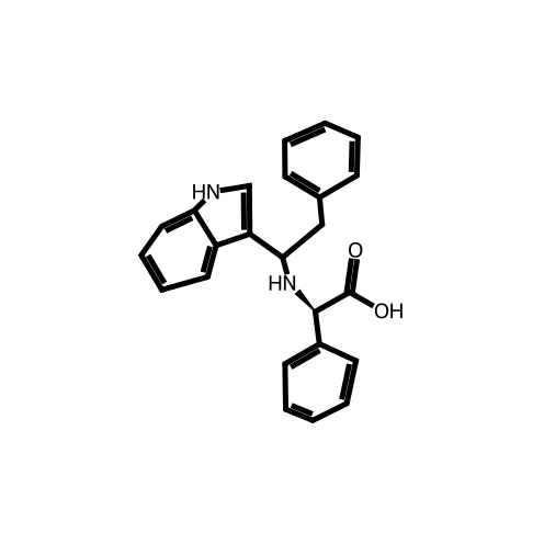 O=C(O)[C@H](NC(Cc1ccccc1)c1c[nH]c2ccccc12)c1ccccc1